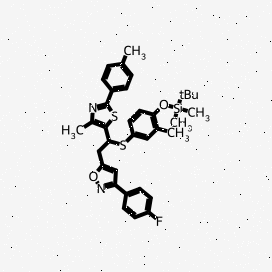 Cc1ccc(-c2nc(C)c(C(Cc3cc(-c4ccc(F)cc4)no3)Sc3ccc(O[Si](C)(C)C(C)(C)C)c(C)c3)s2)cc1